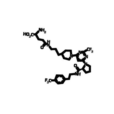 NC(CCC(=O)NCCCC1CCN(c2cc(N3CCC[C@H]3C(=O)NCCc3ccc(C(F)(F)F)cc3)nc(C(F)(F)F)n2)CC1)C(=O)O